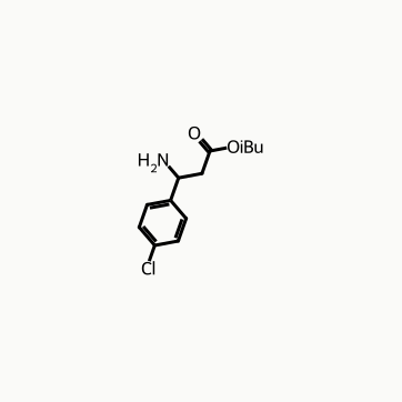 CC(C)COC(=O)CC(N)c1ccc(Cl)cc1